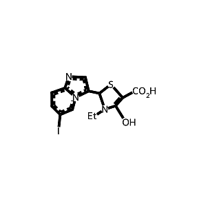 CCN1C(O)=C(C(=O)O)SC1c1cnc2ccc(I)cn12